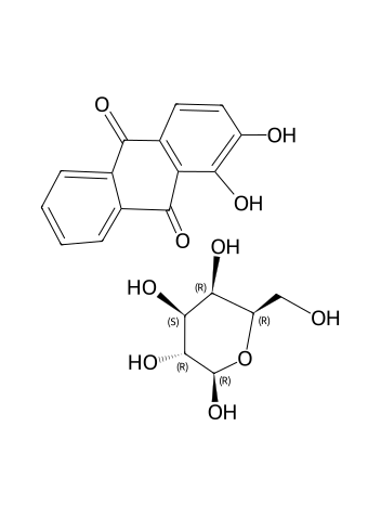 O=C1c2ccccc2C(=O)c2c1ccc(O)c2O.OC[C@H]1O[C@@H](O)[C@H](O)[C@@H](O)[C@H]1O